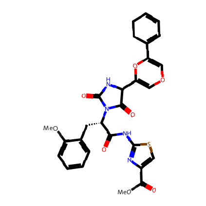 COC(=O)c1csc(NC(=O)[C@H](Cc2ccccc2OC)N2C(=O)NC(C3=COC=C(C4=CC=CCC4)O3)C2=O)n1